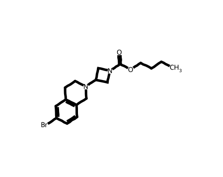 CCCCOC(=O)N1CC(N2CCc3cc(Br)ccc3C2)C1